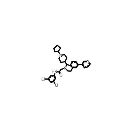 O=C(CN1CCc2cc(-c3cccnc3)ccc2C1C1CCN(C2CCCC2)CC1)Nc1cc(Cl)cc(Cl)c1